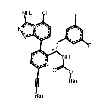 CC(C)(C)C#Cc1ccc(-c2ccc(Cl)n3c(N)nnc23)c([C@H](Cc2cc(F)cc(F)c2)NC(=O)OC(C)(C)C)n1